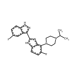 CC(C)N1CCN(c2c(F)ccc3[nH]c(-c4n[nH]c5ccc(F)cc45)nc23)CC1